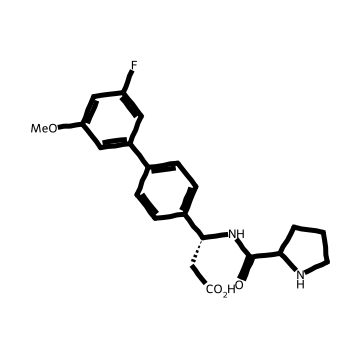 COc1cc(F)cc(-c2ccc([C@@H](CC(=O)O)NC(=O)C3CCCN3)cc2)c1